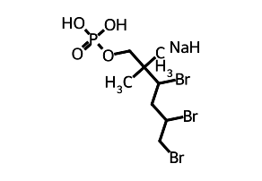 CC(C)(COP(=O)(O)O)C(Br)CC(Br)CBr.[NaH]